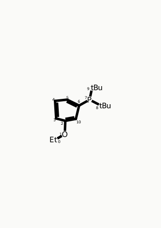 CCOc1cccc(P(C(C)(C)C)C(C)(C)C)c1